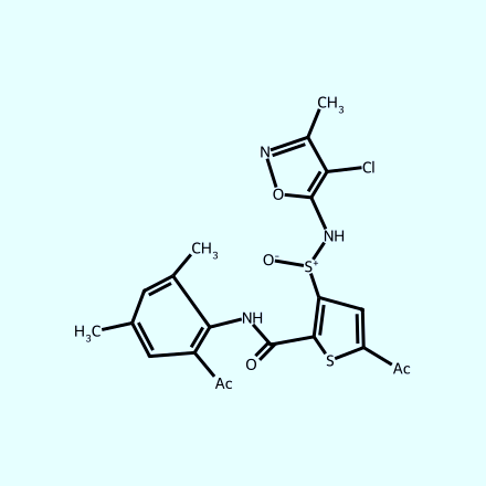 CC(=O)c1cc([S+]([O-])Nc2onc(C)c2Cl)c(C(=O)Nc2c(C)cc(C)cc2C(C)=O)s1